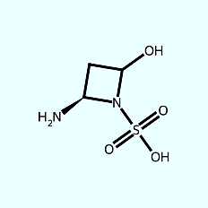 N[C@H]1CC(O)N1S(=O)(=O)O